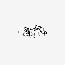 CCC(C)(CC)OP(=O)(OC(C)(CC)CC)SCCOC(=O)C(C)(C)CCN1CCOCC1